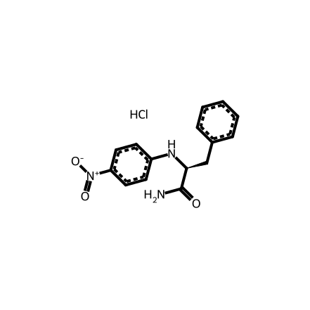 Cl.NC(=O)[C@H](Cc1ccccc1)Nc1ccc([N+](=O)[O-])cc1